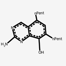 CCCCCc1cc(CCCCC)c2cnc(N)nc2c1O